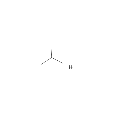 CC(C)C.[H]